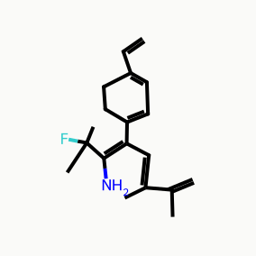 C=CC1=CC=C(C(/C=C(\C)C(=C)C)=C(/N)C(C)(C)F)CC1